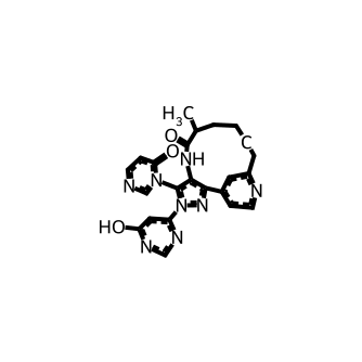 CC1CCCCc2cc(ccn2)-c2nn(-c3cc(O)ncn3)c(-n3cnccc3=O)c2NC1=O